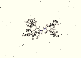 C=C1/C(=C\C=C2/CCC[C@]3(C)[C@@H]([C@H](C)C(CC(=O)CCC4(C5(CCC)OCCO5)CC4)OC(C)=O)CC[C@@H]23)C[C@@H](O[Si](C)(C)C(C)(C)C)C[C@@H]1O[Si](C)(C)C(C)(C)C